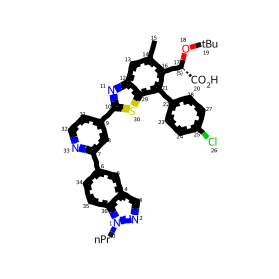 CCCn1ncc2cc(-c3cc(-c4nc5cc(C)c([C@H](OC(C)(C)C)C(=O)O)c(-c6ccc(Cl)cc6)c5s4)ccn3)ccc21